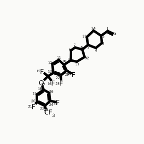 C=CC1CCC(C2CCC(c3ccc(C(F)(F)Oc4cc(F)c(C(F)(F)F)c(F)c4)c(F)c3F)CC2)CC1